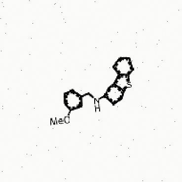 COc1cccc(CNc2ccc3sc4ccccc4c3c2)c1